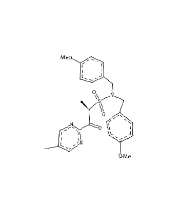 COc1ccc(CN(Cc2ccc(OC)cc2)S(=O)(=O)[C@H](C)C(=O)c2ncc(C)cn2)cc1